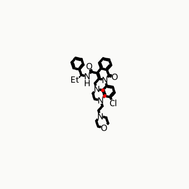 CC[C@H](NC(=O)c1c(CN2CCN(CCN3CCOCC3)CC2)n(-c2ccc(Cl)cc2)c(=O)c2ccccc12)c1ccccc1